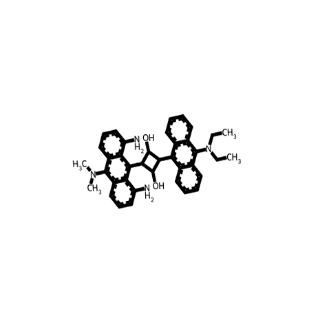 CCN(CC)c1c2ccccc2c(C2C(O)C(c3c4c(N)cccc4c(N(C)C)c4cccc(N)c34)C2O)c2ccccc12